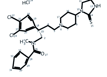 CN(C[C@@H](CCN1CCC(N2CCNC2=S)CC1)c1ccc(Cl)c(Cl)c1)C(=O)c1ccccc1.Cl